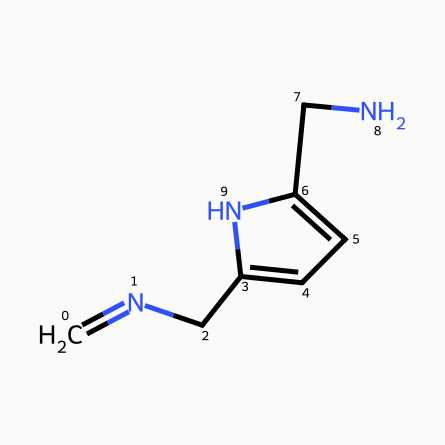 C=NCc1ccc(CN)[nH]1